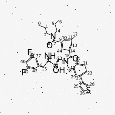 CCCN(CCC)C(=O)c1cc(C)cc(C(=O)N(Cc2cccc(-c3ccsc3)c2)C[C@@H](O)[C@@H](N)Cc2cc(F)cc(F)c2)c1